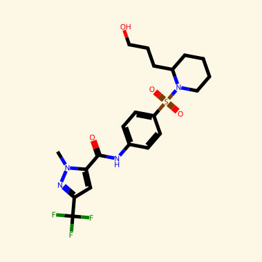 Cn1nc(C(F)(F)F)cc1C(=O)Nc1ccc(S(=O)(=O)N2CCCCC2CCCO)cc1